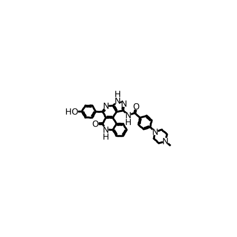 CN1CCN(c2ccc(C(=O)Nc3n[nH]c4nc(-c5ccc(O)cc5)c5c(=O)[nH]c6ccccc6c5c34)cc2)CC1